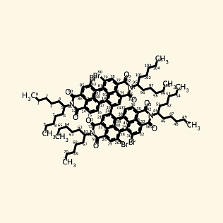 CCCCCC(CCCCC)N1C(=O)c2ccc3c4c(-c5cc6c7c(cc(Br)c8c9c(Br)cc%10c%11c(ccc(c5c78)c%119)C(=O)N(C(CCCCC)CCCCC)C%10=O)C(=O)N(C(CCCCC)CCCCC)C6=O)cc5c6c(cc(Br)c(c7c(Br)cc(c2c37)C1=O)c64)C(=O)N(C(CCCCC)CCCCC)C5=O